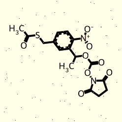 CC(=O)SCc1ccc([N+](=O)[O-])c(C(C)OC(=O)ON2C(=O)CCC2=O)c1